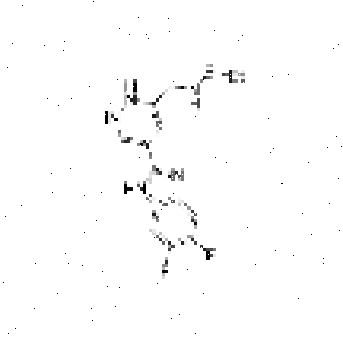 CCSNCC1=CC(c2nc3cc(F)c(F)cc3[nH]2)=CNN1